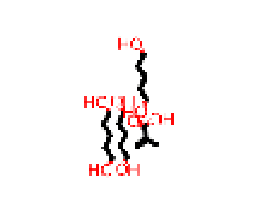 C=C(C)C(=O)O.OCCCCCO.OCCCCCO.OCCCCCO